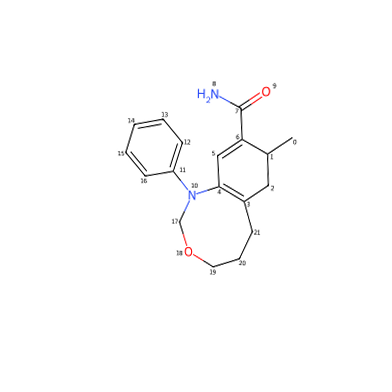 CC1CC2=C(C=C1C(N)=O)N(c1ccccc1)COCCC2